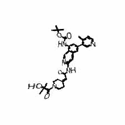 Cc1ccncc1-c1cc(NC(=O)OC(C)(C)C)c2cnc(NC(=O)C=C3CCN(C(=O)C(C)(C)O)CC3)cc2c1